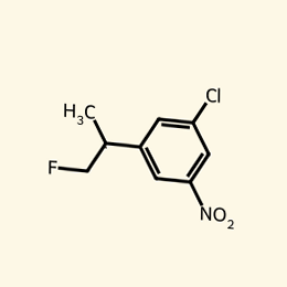 C[C](CF)c1cc(Cl)cc([N+](=O)[O-])c1